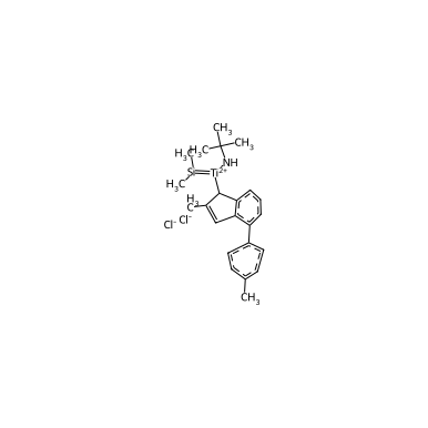 CC1=Cc2c(-c3ccc(C)cc3)cccc2[CH]1[Ti+2]([NH]C(C)(C)C)=[Si](C)C.[Cl-].[Cl-]